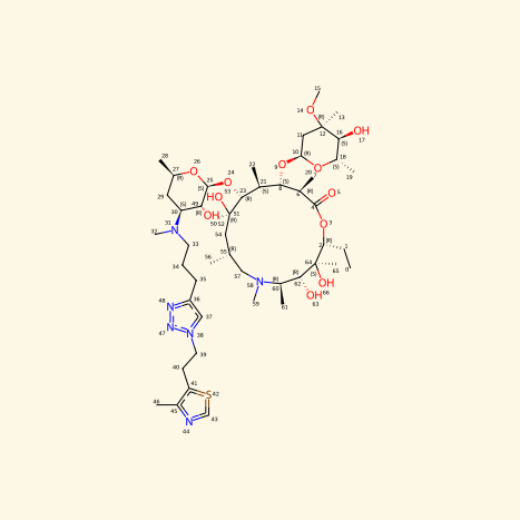 CC[C@H]1OC(=O)[C@H](C)[C@@H](O[C@H]2C[C@@](C)(OC)[C@@H](O)[C@H](C)O2)[C@H](C)[C@@H](O[C@@H]2O[C@H](C)C[C@H](N(C)CCCc3cn(CCc4scnc4C)nn3)[C@H]2O)[C@](C)(O)C[C@@H](C)CN(C)[C@H](C)[C@@H](O)[C@]1(C)O